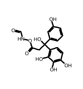 O=CNOC(=O)CC(O)(c1cccc(O)c1)c1ccc(O)c(O)c1O